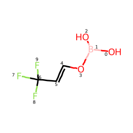 OB(O)OC=CC(F)(F)F